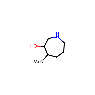 CNC1CCCNCC1O